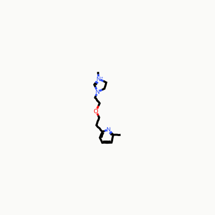 Cc1cccc(CCOCCN2C=[N+](C)CC2)n1